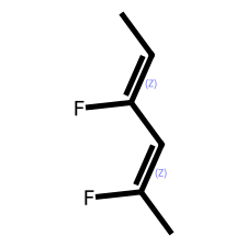 C/C=C(F)/C=C(/C)F